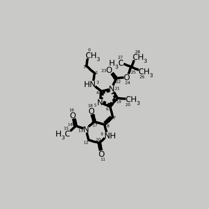 CCCNc1nc(C=C2NC(=O)CN(C(C)=O)C2=O)c(C)n1C(=O)OC(C)(C)C